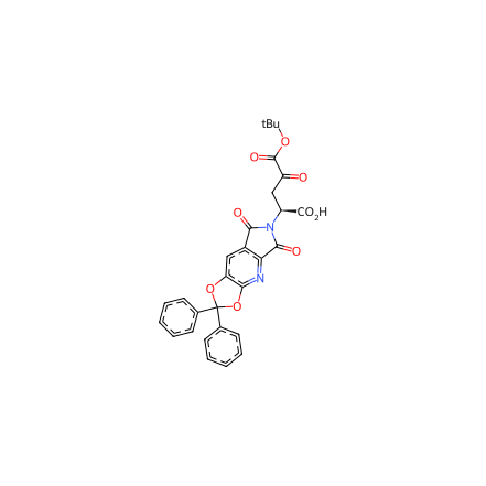 CC(C)(C)OC(=O)C(=O)C[C@@H](C(=O)O)N1C(=O)c2cc3c(nc2C1=O)OC(c1ccccc1)(c1ccccc1)O3